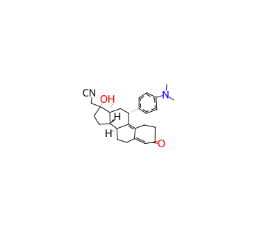 CN(C)c1ccc([C@H]2C[C@@]3(C)[C@@H](CC[C@@]3(O)CC#N)[C@@H]3CCC4=CC(=O)CCC4=C32)cc1